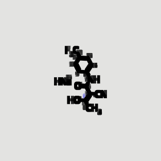 C/C(O)=C(\C#N)C(=O)Nc1ccc(C(F)(F)F)cc1.[NaH]